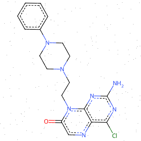 Nc1nc(Cl)c2ncc(=O)n(CCN3CCN(c4ccccc4)CC3)c2n1